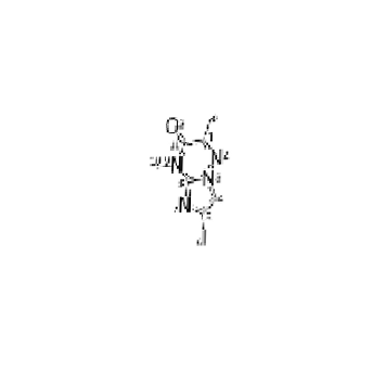 Cc1nn2cc(I)nc2n(C)c1=O